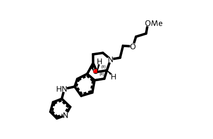 COCCOCCN1CCC23CCCC[C@H]2[C@H]1Cc1ccc(Nc2cccnc2)cc13